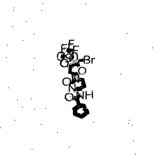 O=C(Nc1ccn([C@@H]2C[C@H](OS(=O)(=O)C(F)(F)F)[C@@H](CBr)O2)c(=O)n1)c1ccccc1